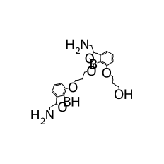 NCC1OBc2c(OCCCOB3OC(CN)c4cccc(OCCCO)c43)cccc21